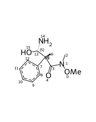 CON(C)C(=O)[C@](C)(c1ccccc1)[C@@H](N)O